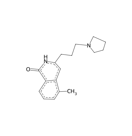 Cc1cccc2c(=O)[nH]c(CCCN3CCCC3)cc12